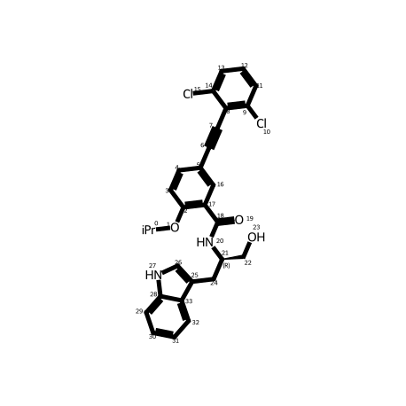 CC(C)Oc1ccc(C#Cc2c(Cl)cccc2Cl)cc1C(=O)N[C@@H](CO)Cc1c[nH]c2ccccc12